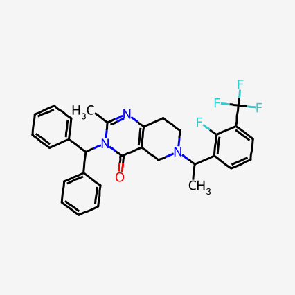 Cc1nc2c(c(=O)n1C(c1ccccc1)c1ccccc1)CN(C(C)c1cccc(C(F)(F)F)c1F)CC2